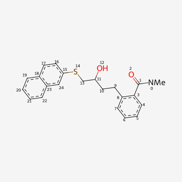 CNC(=O)c1ccccc1CCC(O)CSc1ccc2ccccc2c1